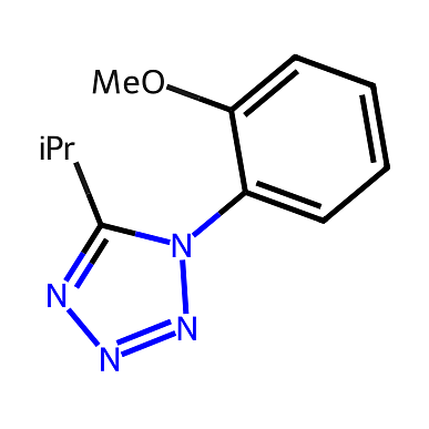 COc1ccccc1-n1nnnc1C(C)C